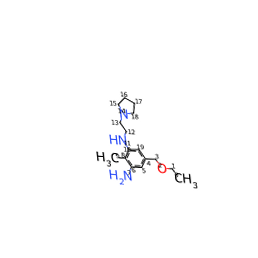 CCOCc1cc(N)c(C)c(NCCN2CCCC2)c1